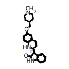 CN1CCC(COc2ccc3c(c2)C=C/C(=C2/C(=O)Nc4ccccc42)N3)CC1